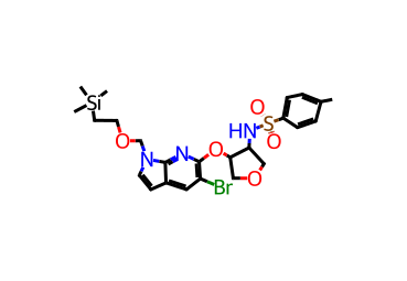 Cc1ccc(S(=O)(=O)NC2COCC2Oc2nc3c(ccn3COCC[Si](C)(C)C)cc2Br)cc1